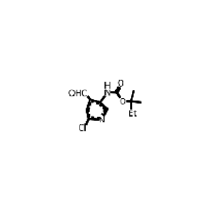 CCC(C)(C)OC(=O)Nc1cnc(Cl)cc1C=O